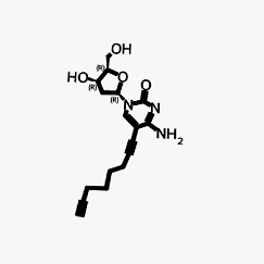 C#CCCCCC#Cc1cn([C@H]2C[C@@H](O)[C@@H](CO)O2)c(=O)nc1N